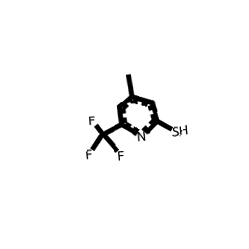 Cc1cc(S)nc(C(F)(F)F)c1